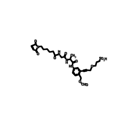 CC(NC(=O)CNC(=O)CCCCCN1C(=O)C=CC1=O)C(=O)Nc1ccc(COC=O)c(C#CCOCCCS(=O)(=O)O)c1